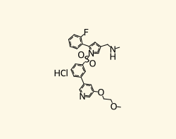 CNCc1cc(-c2ccccc2F)n(S(=O)(=O)c2cccc(-c3cncc(OCCOC)c3)c2)c1.Cl